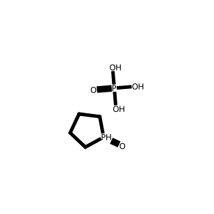 O=P(O)(O)O.O=[PH]1CCCC1